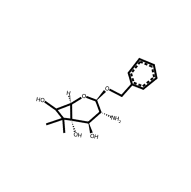 CC1(C)C(O)[C@H]2O[C@@H](OCc3ccccc3)[C@H](N)[C@@H](O)[C@]21O